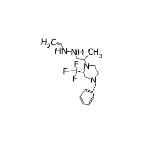 C=CNNCC(C)N1CCN(Cc2ccccc2)CC1C(F)(F)F